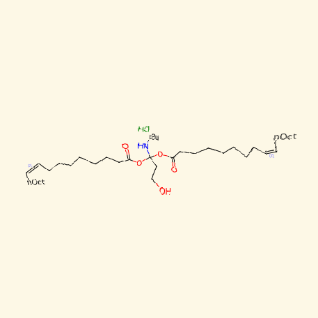 CCCCCCCC/C=C\CCCCCCCC(=O)OC(CCO)(NC(C)(C)C)OC(=O)CCCCCCC/C=C\CCCCCCCC.Cl